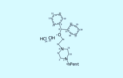 CCCCCN1CCN(CCOC(c2ccccc2)c2ccccc2)CC1.Cl.Cl